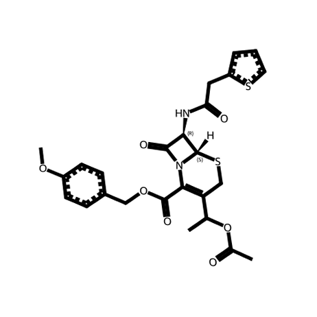 COc1ccc(COC(=O)C2=C(C(C)OC(C)=O)CS[C@H]3[C@H](NC(=O)Cc4cccs4)C(=O)N23)cc1